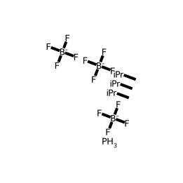 CC(C)C.CC(C)C.CC(C)C.F[B-](F)(F)F.F[B-](F)(F)F.F[B-](F)(F)F.P